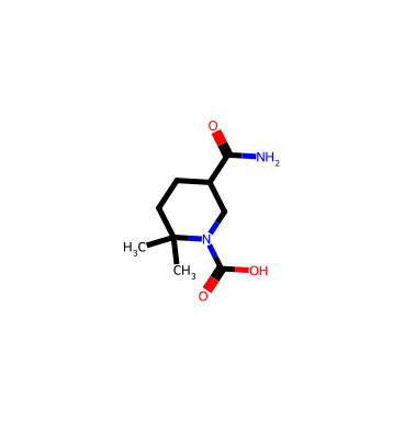 CC1(C)CCC(C(N)=O)CN1C(=O)O